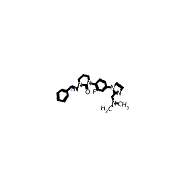 CN(C)Cc1nccn1-c1ccc(N2CCCN(/N=C/c3ccccc3)C2=O)c(F)c1